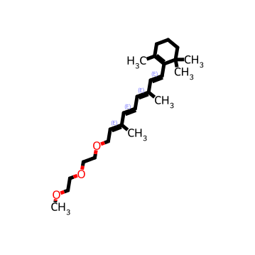 COCCOCCOC/C=C(C)/C=C/C=C(C)/C=C/C1=C(C)CCCC1(C)C